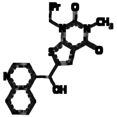 CC(C)Cn1c(=O)n(C)c(=O)c2cc(C(O)c3ccnc4ccccc34)sc21